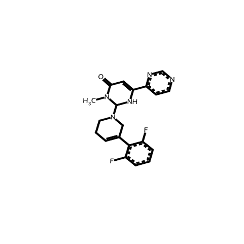 CN1C(=O)C=C(c2ccncn2)NC1N1CCC=C(c2c(F)cccc2F)C1